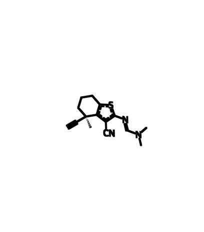 C#C[C@@]1(C)CCCc2sc(/N=C/N(C)C)c(C#N)c21